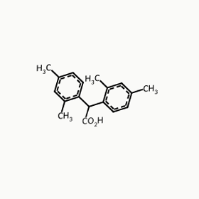 Cc1ccc(C(C(=O)O)c2ccc(C)cc2C)c(C)c1